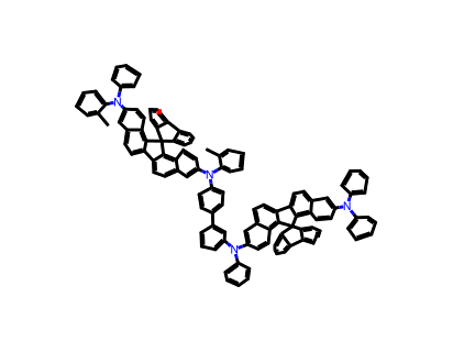 Cc1ccccc1N(c1ccccc1)c1ccc2c3c(ccc2c1)-c1ccc2cc(N(c4ccc(-c5cccc(N(c6ccccc6)c6ccc7c8c(ccc7c6)-c6ccc7cc(N(c9ccccc9)c9ccccc9)ccc7c6C86c7ccccc7-c7ccccc76)c5)cc4)c4ccccc4C)ccc2c1C31c2ccccc2-c2ccccc21